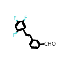 O=Cc1cccc(/C=C/c2cc(F)c(F)cc2F)c1